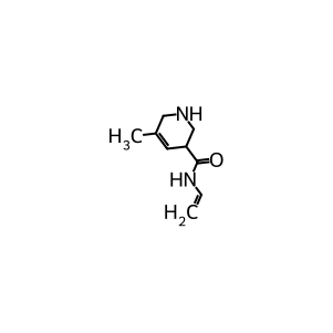 C=CNC(=O)C1C=C(C)CNC1